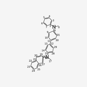 CN(c1ccccc1)c1ccc(-c2ccc(N(C)c3ccc4ccccc4c3)cc2)cc1